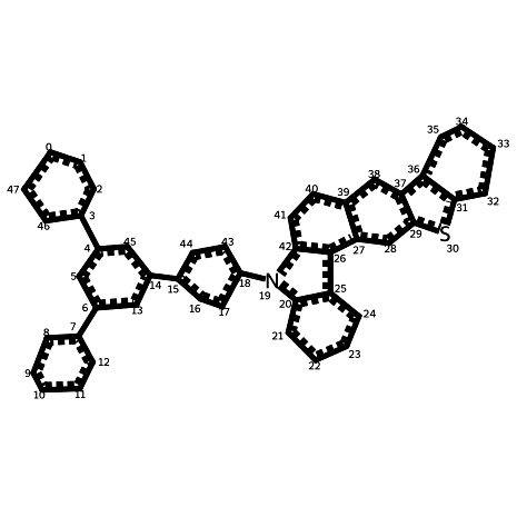 c1ccc(-c2cc(-c3ccccc3)cc(-c3ccc(-n4c5ccccc5c5c6cc7sc8ccccc8c7cc6ccc54)cc3)c2)cc1